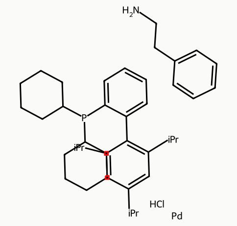 CC(C)c1cc(C(C)C)c(-c2ccccc2P(C2CCCCC2)C2CCCCC2)c(C(C)C)c1.Cl.NCCc1ccccc1.[Pd]